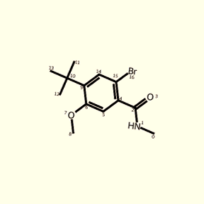 CNC(=O)c1cc(OC)c(C(C)(C)C)cc1Br